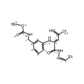 CC/C=N\NC(=O)/C(=C/C(=N)C(F)(F)F)Nc1cccc(CNC(=O)OC(C)(C)C)c1